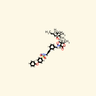 CCCC[Si](OC[C@H]1ON(Cc2cccc(C#CCNS(=O)(=O)c3ccc(Oc4ccccc4)cc3)c2)[C@H]2C(=O)O[C@H](C)[C@@H]12)(C(C)C)C(C)C